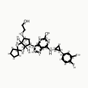 OCCO[C@H]1C[C@@H](n2nnc3c(N[C@@H]4C[C@H]4c4ccc(F)c(F)c4)nc(Cl)nc32)[C@@H]2OC3(CCCC3)O[C@@H]21